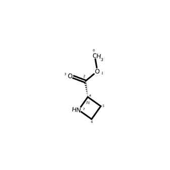 COC(=O)[C@@H]1CCN1